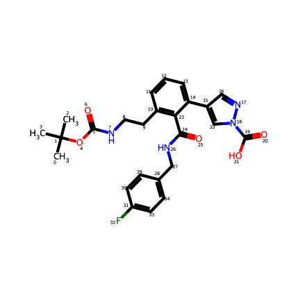 CC(C)(C)OC(=O)NCCc1cccc(-c2cnn(C(=O)O)c2)c1C(=O)NCc1ccc(F)cc1